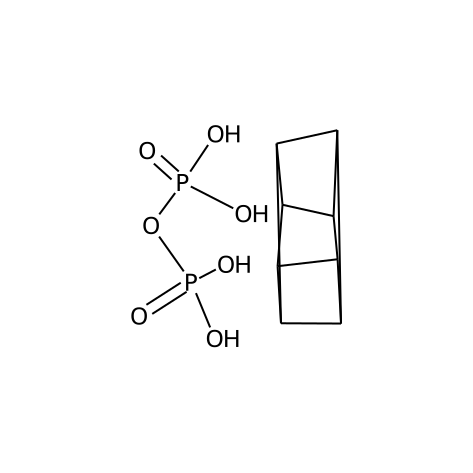 C12C3C4C1C1C2C3C41.O=P(O)(O)OP(=O)(O)O